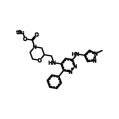 Cn1cc(Nc2cc(NCC3CN(C(=O)OC(C)(C)C)CCO3)c(-c3ccccc3)nn2)cn1